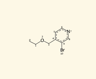 CCOCc1ccncc1Br